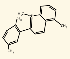 Cc1ccc(C)c(-c2ccc3c(C)cccc3[n+]2C)c1